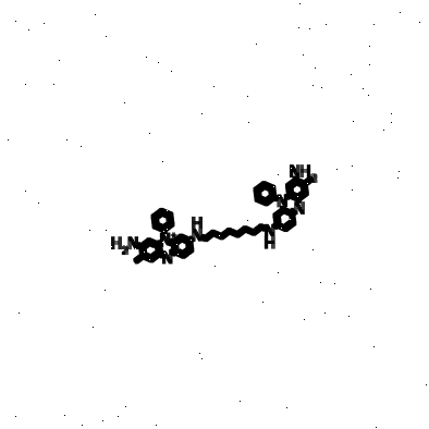 Cc1cc2c(cc1N)N(c1ccccc1)C1C=C(NCCCCCCCCNc3ccc4nc5cc(C)c(N)cc5[n+](-c5ccccc5)c4c3)C=CC1=N2